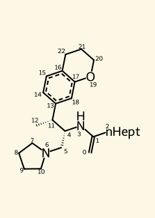 C=C(CCCCCCC)N[C@H](CN1CCCC1)[C@H](C)c1ccc2c(c1)OCCC2